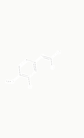 COc1ccc(N=C(Cl)Cl)cc1Cl